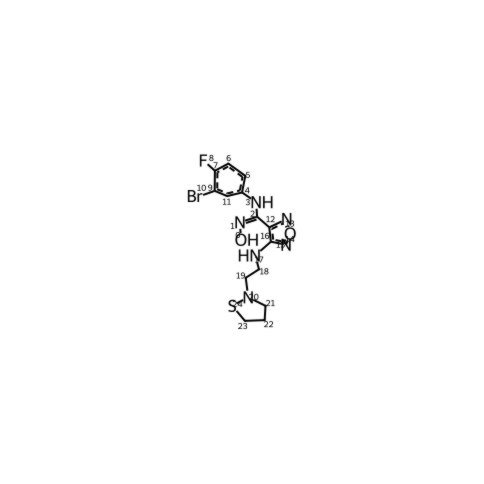 ON=C(Nc1ccc(F)c(Br)c1)c1nonc1NCCN1CCCS1